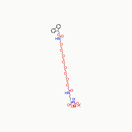 CC(C)(C)OC(=O)N[C@@H](CCCCNC(=O)CCOCCOCCOCCOCCOCCOCCOCCOCCNC(=O)OCC1c2ccccc2-c2ccccc21)C(=O)O